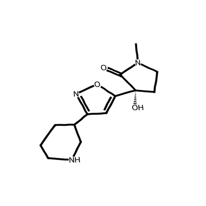 CN1CC[C@@](O)(c2cc(C3CCCNC3)no2)C1=O